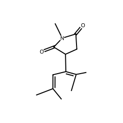 CC(C)=CC(=C(C)C)C1CC(=O)N(C)C1=O